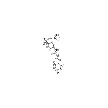 BN(C)Cc1cc(NC(=O)OCCc2c(C)cc(Br)cc2C)ccc1S(=O)(=O)I